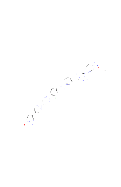 CC1(NC(=O)OC(C)(C)C)C=CN(c2cnc(Sc3cccc(NC(=O)c4ccc(N5CCC(N6CC=C(c7ccc(C(=O)O)nc7)CC6)CC5)c(F)c4)c3)cn2)C=C1